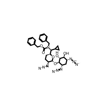 [N-]=[N+]=N[C@H]1CC[C@@H]([C@H](C2CC2)N(Cc2ccccc2)C(=O)OCc2ccccc2)O[C@@H]1O[C@H]1[C@H](O)[C@@H](O)[C@H](N=[N+]=[N-])C[C@@H]1N=[N+]=[N-]